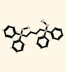 CCO[Si](CCCC[Si](OCC)(c1ccccc1)c1ccccc1)(c1ccccc1)c1ccccc1